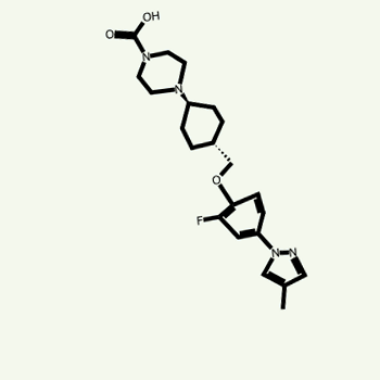 Cc1cnn(-c2ccc(OC[C@H]3CC[C@H](N4CCN(C(=O)O)CC4)CC3)c(F)c2)c1